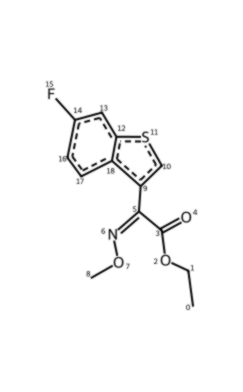 CCOC(=O)C(=NOC)c1csc2cc(F)ccc12